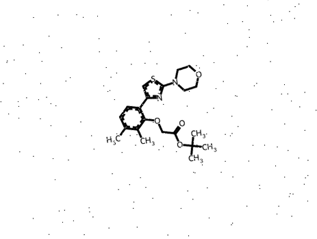 Cc1ccc(-c2csc(N3CCOCC3)n2)c(OCC(=O)OC(C)(C)C)c1C